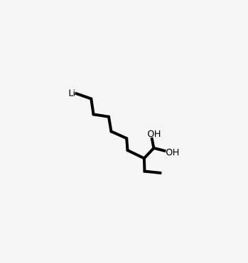 [Li][CH2]CCCCCC(CC)C(O)O